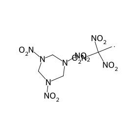 O=[N+]([O-])N1CN([N+](=O)[O-])CN([N+](=O)[O-])C1.[CH2]C([N+](=O)[O-])([N+](=O)[O-])[N+](=O)[O-]